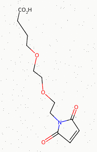 O=C(O)CCCOCCOCCN1C(=O)C=CC1=O